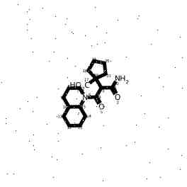 NC(=O)C(C(=O)N1CCCC2CCCCC21)C1(C(=O)O)CCCC1